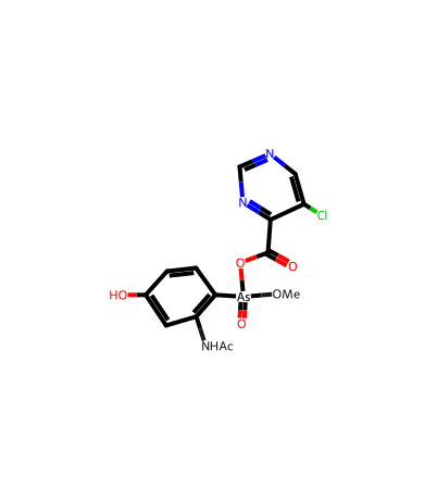 CO[As](=O)(OC(=O)c1ncncc1Cl)c1ccc(O)cc1NC(C)=O